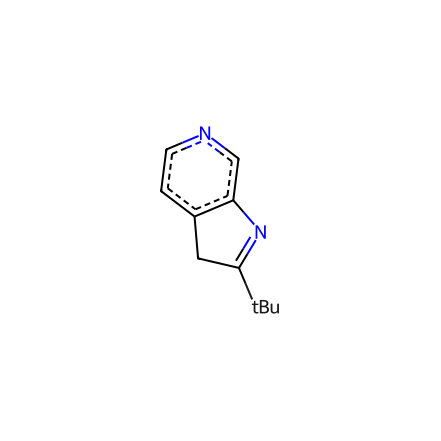 CC(C)(C)C1=Nc2cnccc2C1